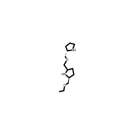 CCOC[C@@H]1CCC(COC[C@@H]2CCCN2)N1